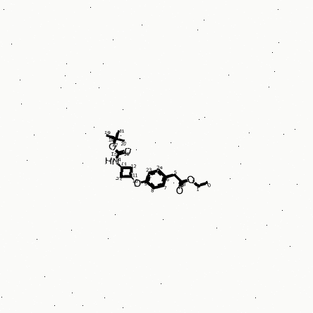 CCOC(=O)Cc1ccc(O[C@H]2C[C@H](NC(=O)OC(C)(C)C)C2)cc1